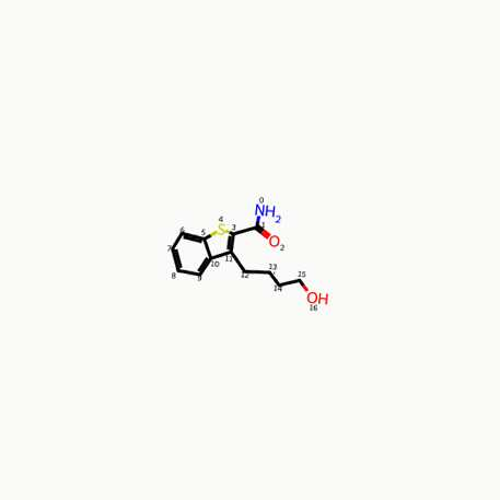 NC(=O)c1sc2ccccc2c1C[CH]CCO